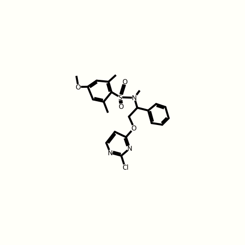 COc1cc(C)c(S(=O)(=O)N(C)C(COc2ccnc(Cl)n2)c2ccccc2)c(C)c1